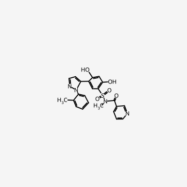 Cc1ccccc1-n1nccc1-c1cc(S(=O)(=O)N(C)C(=O)c2cccnc2)c(O)cc1O